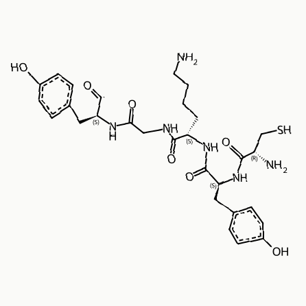 NCCCC[C@H](NC(=O)[C@H](Cc1ccc(O)cc1)NC(=O)[C@@H](N)CS)C(=O)NCC(=O)N[C@H]([C]=O)Cc1ccc(O)cc1